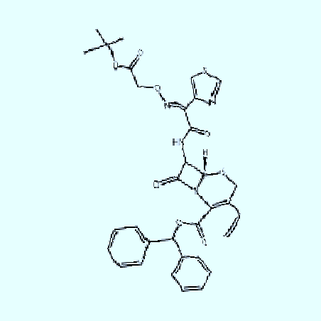 C=CC1=C(C(=O)OC(c2ccccc2)c2ccccc2)N2C(=O)C(NC(=O)C(=NOCC(=O)OC(C)(C)C)c3cscn3)[C@@H]2SC1